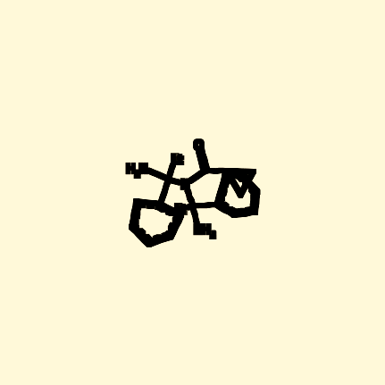 CCC(N)(c1ccccc1)N(C(=O)C1CC1)C(N)(CC)c1ccccc1